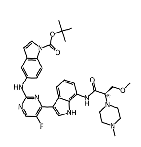 COC[C@H](C(=O)Nc1cccc2c(-c3nc(Nc4ccc5c(ccn5C(=O)OC(C)(C)C)c4)ncc3F)c[nH]c12)N1CCN(C)CC1